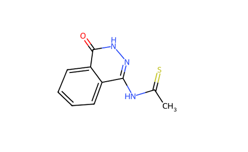 CC(=S)Nc1n[nH]c(=O)c2ccccc12